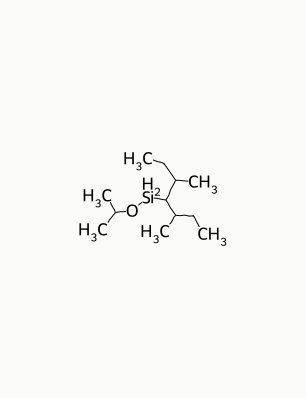 CCC(C)C([SiH2]OC(C)C)C(C)CC